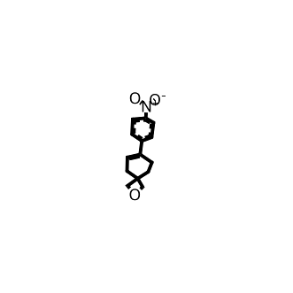 O=[N+]([O-])c1ccc(C2=CCC3(CC2)COC3)cc1